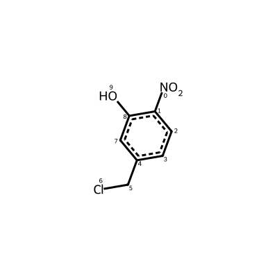 O=[N+]([O-])c1ccc(CCl)cc1O